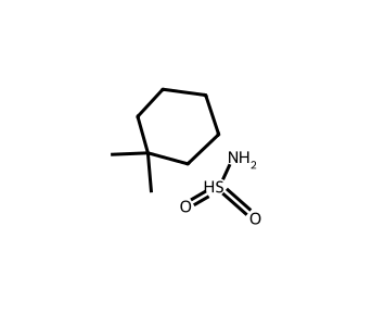 CC1(C)CCCCC1.N[SH](=O)=O